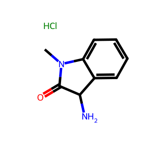 CN1C(=O)C(N)c2ccccc21.Cl